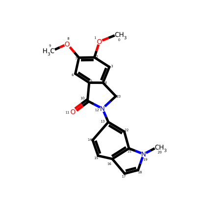 COc1cc2c(cc1OC)C(=O)N(c1ccc3ccn(C)c3c1)C2